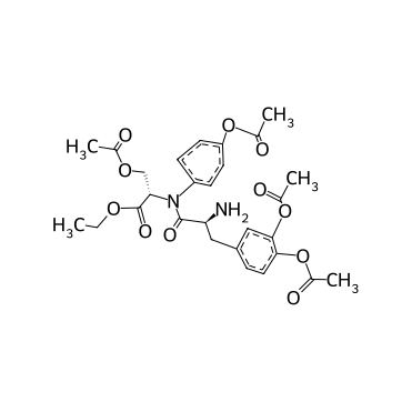 CCOC(=O)[C@H](COC(C)=O)N(C(=O)[C@@H](N)Cc1ccc(OC(C)=O)c(OC(C)=O)c1)c1ccc(OC(C)=O)cc1